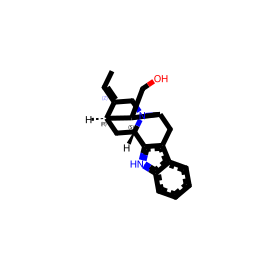 C/C=C1\CN2C3Cc4c([nH]c5ccccc45)[C@@H]2C[C@@H]1C3CO